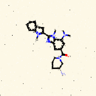 CCn1c(-c2nc3cc(C(=O)N4CCC[C@@H](N)C4)cc(N(C)C)c3n2C)cc2ccccc21